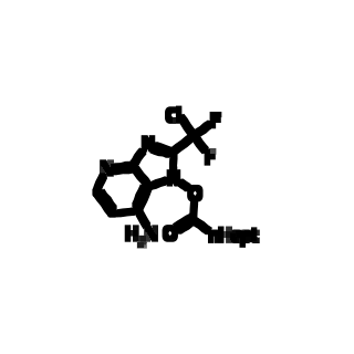 CCCCCCCC(=O)On1c(C(F)(F)Cl)nc2nccc(N)c21